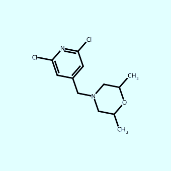 CC1CN(Cc2cc(Cl)nc(Cl)c2)CC(C)O1